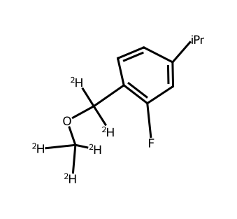 [2H]C([2H])([2H])OC([2H])([2H])c1ccc(C(C)C)cc1F